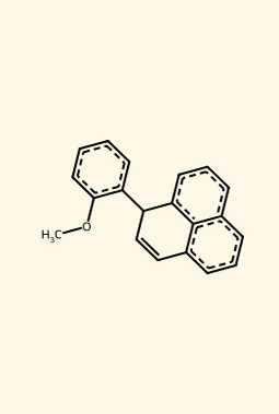 COc1ccccc1C1C=Cc2cccc3cccc1c23